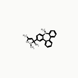 BC(C=C(C)C)(OC)c1ccc2c(c1)-c1ccccc1-c1ccccc1N2C